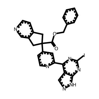 O=C(OCc1ccccc1)C1(c2ccnc(-c3nc(I)nc4[nH]ncc34)c2)Cc2ccncc2C1